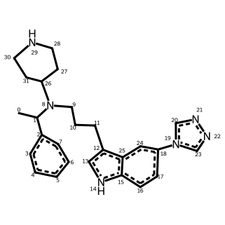 CC(c1ccccc1)N(CCCc1c[nH]c2ccc(-n3cnnc3)cc12)C1CCNCC1